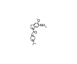 COc1cc2c(cc1N)N(C(=O)CN1CCN(C(C)C)CC1)CC2